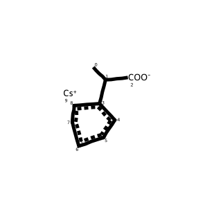 CC(C(=O)[O-])c1ccccc1.[Cs+]